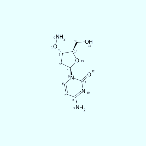 NO[C@H]1C[C@H](n2ccc(N)nc2=O)O[C@@H]1CO